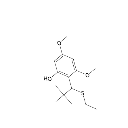 CCSC(c1c(O)cc(OC)cc1OC)C(C)(C)C